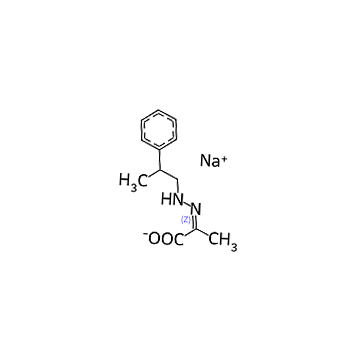 C/C(=N/NCC(C)c1ccccc1)C(=O)[O-].[Na+]